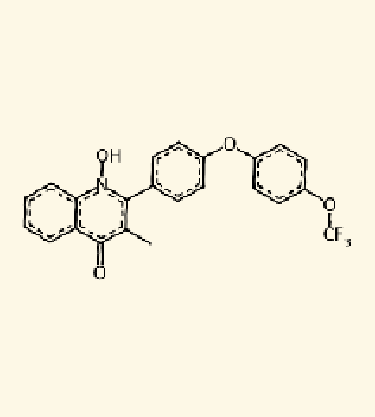 Cc1c(-c2ccc(Oc3ccc(OC(F)(F)F)cc3)cc2)n(O)c2ccccc2c1=O